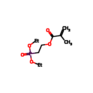 C=C(C)C(=O)OCCP(=O)(OCC)OCC